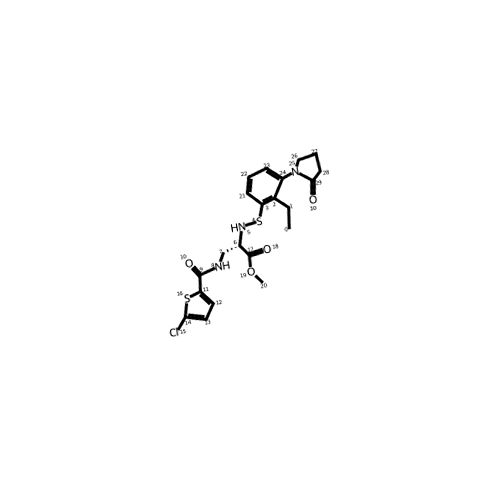 CCc1c(SN[C@@H](CNC(=O)c2ccc(Cl)s2)C(=O)OC)cccc1N1CCCC1=O